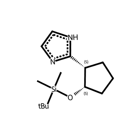 CC(C)(C)[Si](C)(C)O[C@H]1CCC[C@H]1c1ncc[nH]1